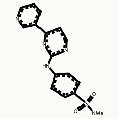 CNS(=O)(=O)c1ccc(Nc2nccc(-c3cccnc3)n2)cc1